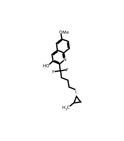 COc1ccc2nc(C(F)(F)CCCC[C@@H]3CC3C)c(O)cc2c1